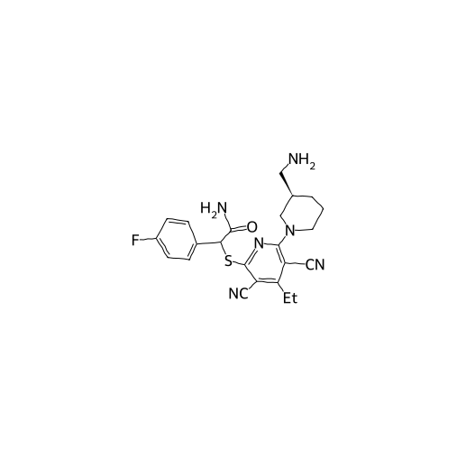 CCc1c(C#N)c(SC(C(N)=O)c2ccc(F)cc2)nc(N2CCC[C@H](CN)C2)c1C#N